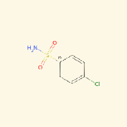 NS(=O)(=O)[C@@H]1C=CC(Cl)=CC1